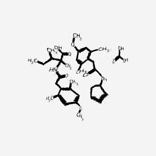 CCC(C)C(C)(NC(=O)Cc1c(C)cc(OC)cc1C)C(=O)O.COc1cc(C)c(CC(=O)NC2CCCC2)c(C)c1.O=C(O)O